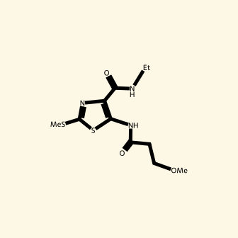 CCNC(=O)c1nc(SC)sc1NC(=O)CCOC